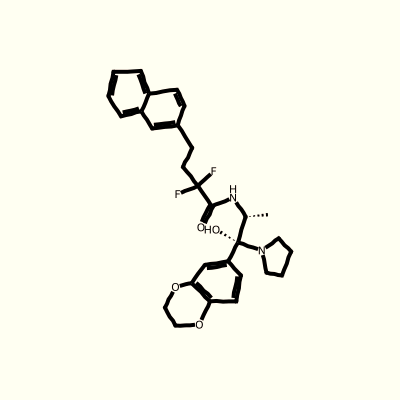 C[C@@H](NC(=O)C(F)(F)CCc1ccc2ccccc2c1)[C@](O)(c1ccc2c(c1)OCCO2)N1CCCC1